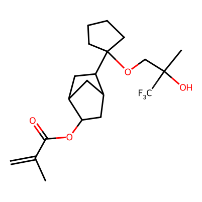 C=C(C)C(=O)OC1CC2CC1CC2C1(OCC(C)(O)C(F)(F)F)CCCC1